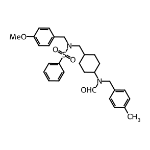 COc1ccc(CN(CC2CCC(N(C=O)Cc3ccc(C)cc3)CC2)S(=O)(=O)c2ccccc2)cc1